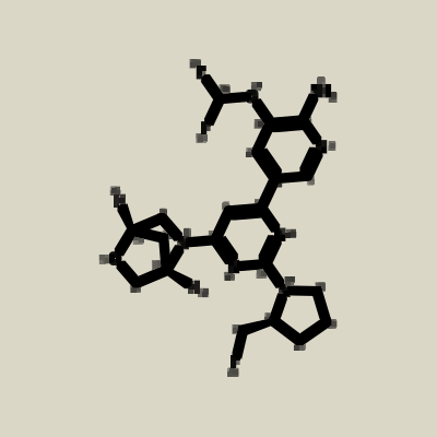 Nc1ncc(-c2cc(N3C[C@@H]4C[C@H]3CO4)nc(N3CCC[C@H]3CF)n2)cc1OC(F)F